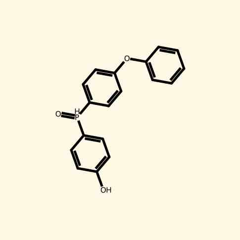 O=[PH](c1ccc(O)cc1)c1ccc(Oc2ccccc2)cc1